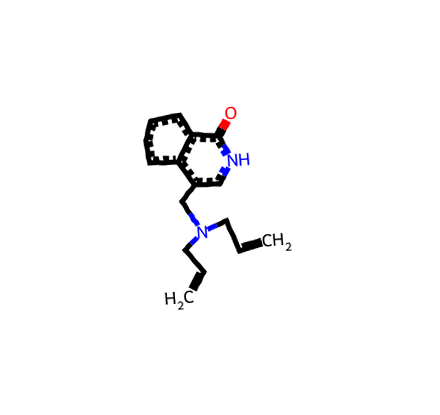 C=CCN(CC=C)Cc1c[nH]c(=O)c2ccccc12